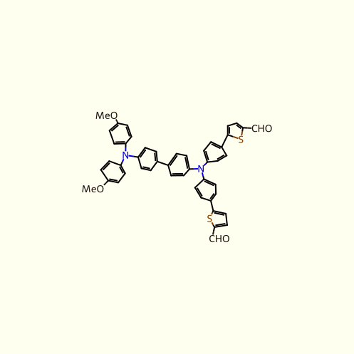 COc1ccc(N(c2ccc(OC)cc2)c2ccc(-c3ccc(N(c4ccc(-c5ccc(C=O)s5)cc4)c4ccc(-c5ccc(C=O)s5)cc4)cc3)cc2)cc1